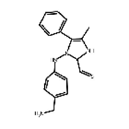 CC1=C(c2ccccc2)N(Nc2ccc(CN)cc2)C(C=S)N1